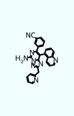 N#Cc1cccc(-c2nc(N)n3nc(Cc4ccccn4)nc3c2-c2cccc3ncccc23)c1